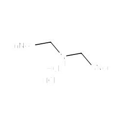 CCCCCCCCCCNCCCCCCCCCC.Cl.Cl